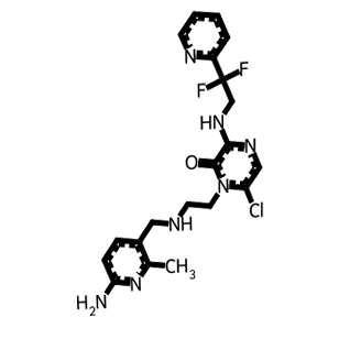 Cc1nc(N)ccc1CNCCn1c(Cl)cnc(NCC(F)(F)c2ccccn2)c1=O